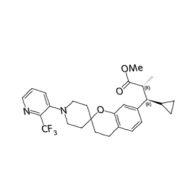 COC(=O)[C@H](C)[C@H](c1ccc2c(c1)OC1(CC2)CCN(c2cccnc2C(F)(F)F)CC1)C1CC1